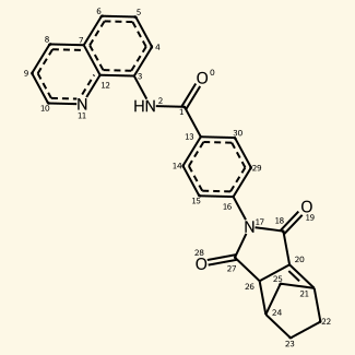 O=C(Nc1cccc2cccnc12)c1ccc(N2C(=O)C3=C4CCC(C4)C3C2=O)cc1